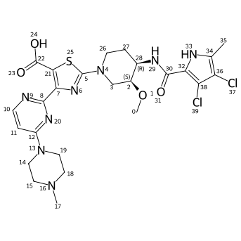 CO[C@H]1CN(c2nc(-c3nccc(N4CCN(C)CC4)n3)c(C(=O)O)s2)CC[C@H]1NC(=O)c1[nH]c(C)c(Cl)c1Cl